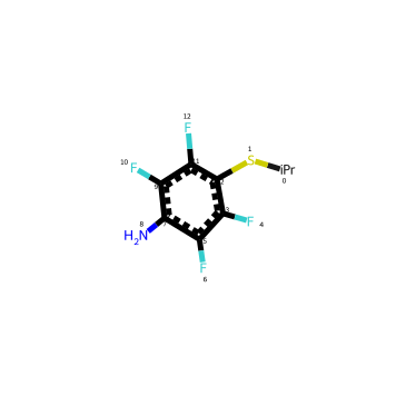 CC(C)Sc1c(F)c(F)c(N)c(F)c1F